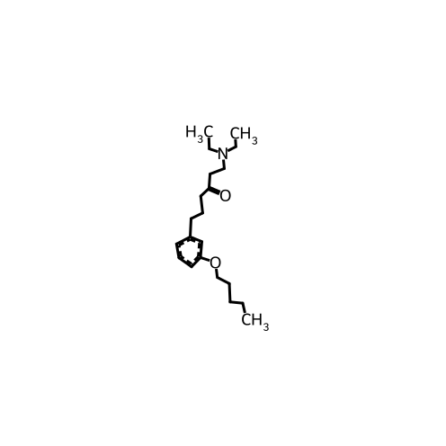 CCCCCOc1cccc(CCCC(=O)CCN(CC)CC)c1